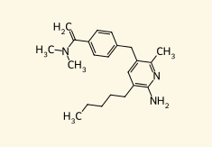 C=C(c1ccc(Cc2cc(CCCCC)c(N)nc2C)cc1)N(C)C